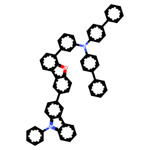 c1ccc(-c2ccc(N(c3ccc(-c4ccccc4)cc3)c3cccc(-c4cccc5c4oc4ccc(-c6ccc7c(c6)c6ccccc6n7-c6ccccc6)cc45)c3)cc2)cc1